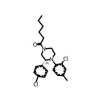 CCCCCC(=O)N1CCN(c2ccc(C)cc2Cl)[C@H](c2ccc(Cl)cc2)C1